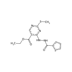 CCOC(=O)c1cnc(SC)nc1NNC(=O)c1cccs1